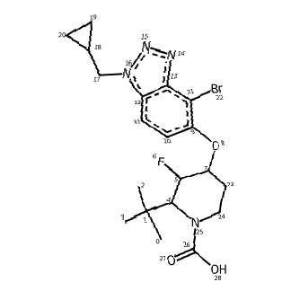 CC(C)(C)C1C(F)C(Oc2ccc3c(nnn3CC3CC3)c2Br)CCN1C(=O)O